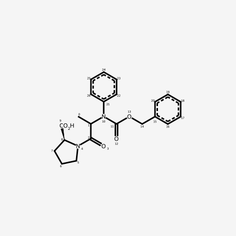 CC(C(=O)N1CCC[C@H]1C(=O)O)N(C(=O)OCc1ccccc1)c1ccccc1